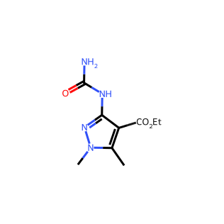 CCOC(=O)c1c(NC(N)=O)nn(C)c1C